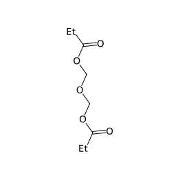 CCC(=O)OCOCOC(=O)CC